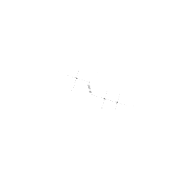 CCCCCCOC(F)(F)C(F)=C(F)C(F)(F)C(F)(F)C(F)(F)F